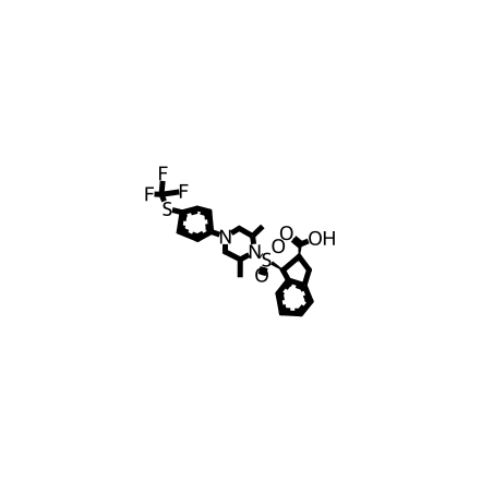 CC1CN(c2ccc(SC(F)(F)F)cc2)CC(C)N1S(=O)(=O)[C@@H]1c2ccccc2C[C@@H]1C(=O)O